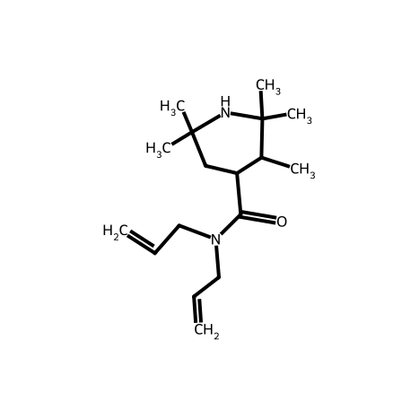 C=CCN(CC=C)C(=O)C1CC(C)(C)NC(C)(C)C1C